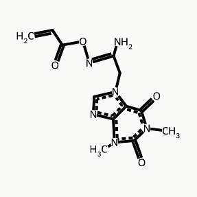 C=CC(=O)ON=C(N)Cn1cnc2c1c(=O)n(C)c(=O)n2C